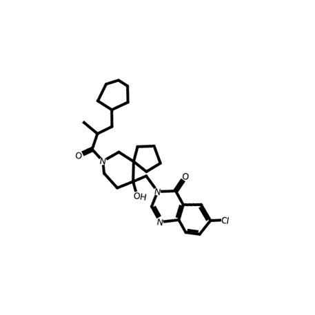 CC(CC1CCCCC1)C(=O)N1CCC(O)(Cn2cnc3ccc(Cl)cc3c2=O)C2(CCCC2)C1